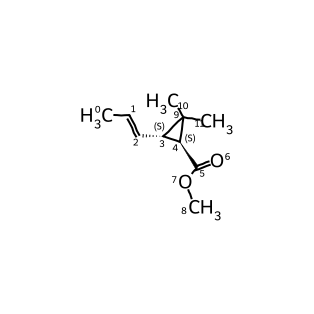 CC=C[C@H]1[C@H](C(=O)OC)C1(C)C